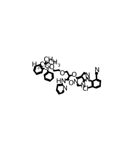 CC(C)(C)[Si](OCCOCC(Oc1ncnc2c1cnn2-c1c(Cl)cccc1C#N)C(=O)Nc1ccccn1)(c1ccccc1)c1ccccc1